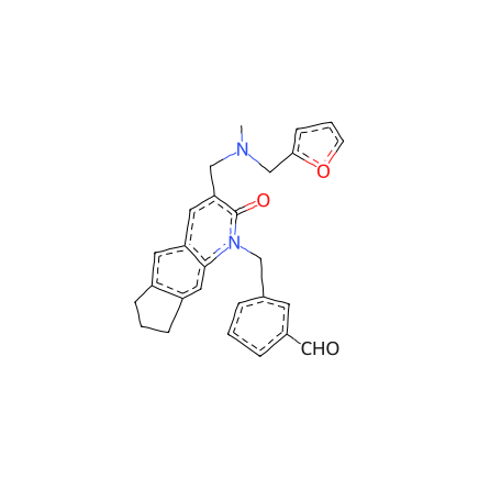 CN(Cc1ccco1)Cc1cc2cc3c(cc2n(Cc2cccc(C=O)c2)c1=O)CCC3